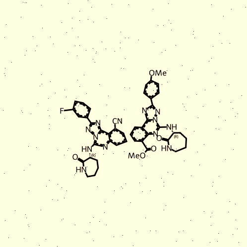 COC(=O)c1cccc2c1nc(N[C@@H]1CCCCNC1=O)n1nc(-c3ccc(OC)cc3)nc21.N#Cc1cccc2nc(N[C@@H]3CCCCNC3=O)n3nc(-c4cccc(F)c4)nc3c12